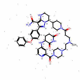 CN(CCC(=O)N1CCC([C@@H]2CCNc3c(C(N)=O)c(-c4ccc(Oc5ccccc5)cc4)nn32)CC1)CCN1CCN(C(=O)c2cc(NC3CCC(=O)NC3=O)ccn2)CC1